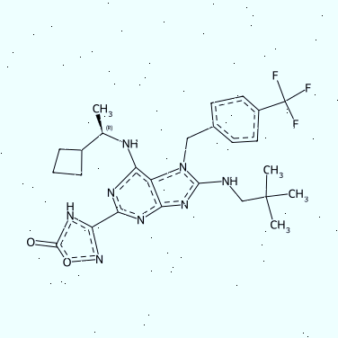 C[C@@H](Nc1nc(-c2noc(=O)[nH]2)nc2nc(NCC(C)(C)C)n(Cc3ccc(C(F)(F)F)cc3)c12)C1CCC1